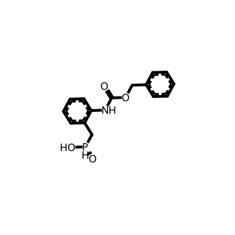 O=C(Nc1ccccc1C[PH](=O)O)OCc1ccccc1